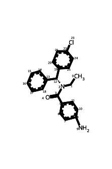 CCN(C(=O)c1ccc(N)cc1)[C@H](c1ccccc1)c1ccc(Cl)cc1